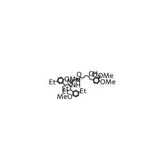 CCc1ccc(OC)c(C(CC)c2nc(C[N]C(=O)CCC(C)Cc3ccc(OC)c(OC)c3Cl)[nH]c2C(CC)c2cc(CC)ccc2OC)c1